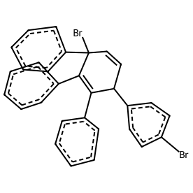 Brc1ccc(C2C=CC(Br)(c3ccccc3)C(c3ccccc3)=C2c2ccccc2)cc1